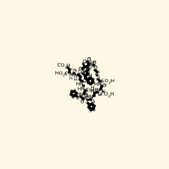 CCC(NCNC(=O)CCC(NC(=O)N[C@@H](CCC(=O)O)C(=O)O)C(=O)O)C(=O)N[C@@H](Cc1ccccc1)C(=O)N[C@@H](Cc1ccccc1)C(=O)NC[C@H](N)C(=O)N[C@@H](CC(=O)O)C(=O)N[C@@H](CSSCCOC(=O)O[C@]1(CC)C(=O)OCc2c1cc1n(c2=O)Cc2cc3ccccc3nc2-1)C(=O)O